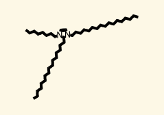 CCCCCCCCCCCCCCCCCN1C=CN(CCCCCCCC)C1CCCCCCCCCCCCCCCC